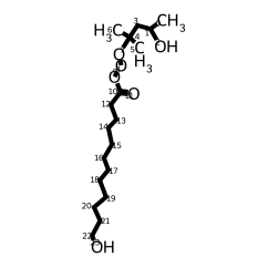 CC(O)CC(C)(C)OOOC(=O)CCCCCCCCCCCO